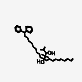 CCCCCCCCCCC(O)(CCCCCCCCCC(c1ccccc1)c1ccccc1)C(C)(C)C(O)C(C)C